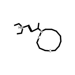 CC[SiH](C=CC(C)N1CCCCCCCCCCCC1)CC